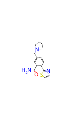 NC(=O)c1cc(CN2CCCC2)ccc1-c1nccs1